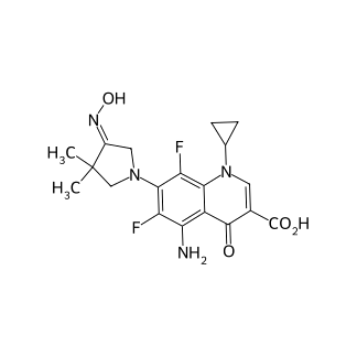 CC1(C)CN(c2c(F)c(N)c3c(=O)c(C(=O)O)cn(C4CC4)c3c2F)CC1=NO